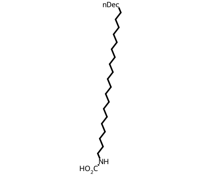 CCCCCCCCCCCCCCCCCCCCCCCCCCCCCCNC(=O)O